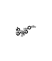 CC1CCN(c2ncccc2C(=O)NS(=O)(=O)c2cccc(NC3CCC(C(C)(C)C)CC3)n2)C1(C)C